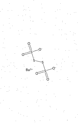 O=S(=O)([O-])SSS(=O)(=O)[O-].[Ba+2]